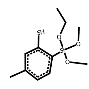 CCO[Si](OC)(OC)c1ccc(C)cc1S